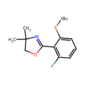 CC1(C)COC(c2c(F)cccc2SC(C)(C)C)=N1